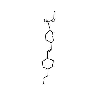 CCCC1CCC(/C=C/C2CCC(C(=O)OC)CC2)CC1